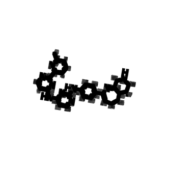 Cc1cccc(-c2nccc(Nc3ccnc(Nc4ccc(C5=CCCC6CCNCC6=N5)cc4)n3)n2)n1